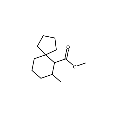 COC(=O)C1C(C)CCCC12CCCC2